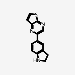 c1cc2nc(-c3ccc4c(c3)CCN4)cnc2s1